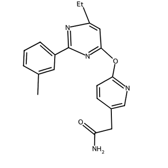 CCc1cc(Oc2ccc(CC(N)=O)cn2)nc(-c2cccc(C)c2)n1